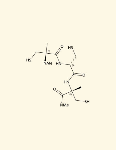 CNC(=O)[C@@](C)(CS)NC(=O)[C@@H](CS)NC(=O)[C@@](C)(CS)NC